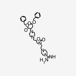 N=C(N)N1CCN(CCN2CC(CN3CCN(C(CC(=O)OCc4ccccc4)C(=O)OCc4ccccc4)CC3)OC2=O)CC1